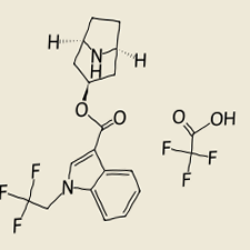 O=C(O)C(F)(F)F.O=C(O[C@H]1C[C@H]2CC[C@@H](C1)N2)c1cn(CC(F)(F)F)c2ccccc12